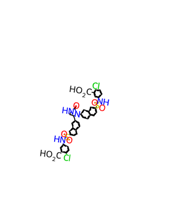 O=C(O)c1cc(NS(=O)(=O)c2ccc3ccc(C4CNC(=O)N4c4ccc5ccc(S(=O)(=O)Nc6ccc(Cl)c(C(=O)O)c6)cc5c4)cc3c2)ccc1Cl